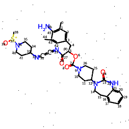 Cc1cc(C[C@@H](OC(=O)N2CCC(N3CCc4ccccc4NC3=O)CC2)C(=O)N=C=C=NC2CCN([S+](C)[O-])CC2)cc(C)c1N